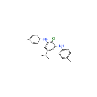 CC1=CCC(Nc2cc(C(C)C)cc(Nc3ccc(C)cc3)c2Cl)C=C1